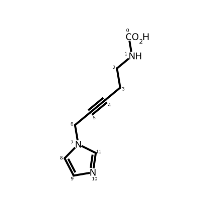 O=C(O)NCCC#CCn1ccnc1